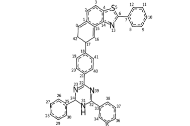 C1=c2ccc3sc(-c4ccccc4)nc3c2=CC(c2ccc(C3=NC(c4ccccc4)NC(c4ccccc4)=N3)cc2)C1